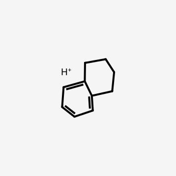 [H+].c1ccc2c(c1)CCCC2